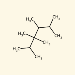 CC(C)C(C)C(C)(C)C(C)C